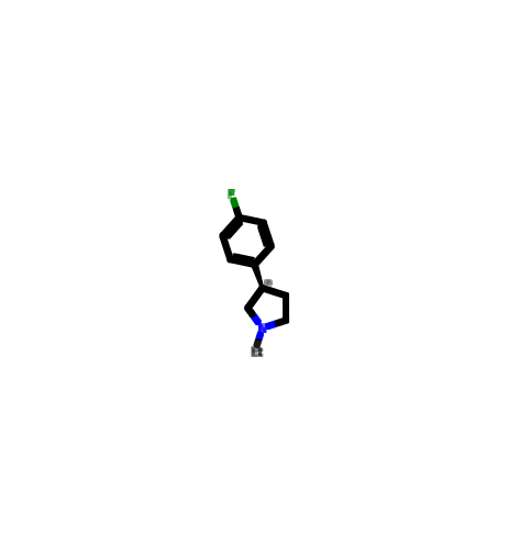 CCN1CC[C@H](c2ccc(F)cc2)C1